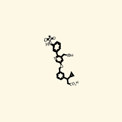 CC(C)(C)Cc1cc(OCc2cccc(C(CC(=O)O)C3CC3)c2)cnc1-c1cccc(NS(C)(=O)=O)c1